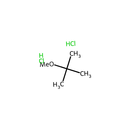 COC(C)(C)C.Cl.Cl